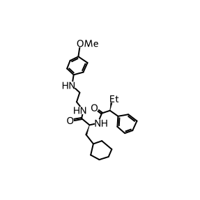 CC[C@H](C(=O)N[C@@H](CC1CCCCC1)C(=O)NCCNc1ccc(OC)cc1)c1ccccc1